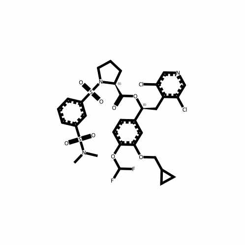 CN(C)S(=O)(=O)c1cccc(S(=O)(=O)N2CCC[C@H]2C(=O)O[C@@H](Cc2c(Cl)cncc2Cl)c2ccc(OC(F)F)c(OCC3CC3)c2)c1